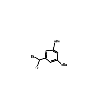 CCCCc1cc(CCCC)cc(C([O])CC)c1